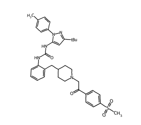 Cc1ccc(-n2nc(C(C)(C)C)cc2NC(=O)Nc2ccccc2CC2CCN(CC(=O)c3ccc(S(C)(=O)=O)cc3)CC2)cc1